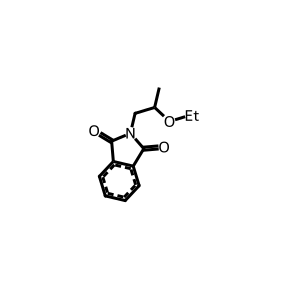 CCOC(C)CN1C(=O)c2ccccc2C1=O